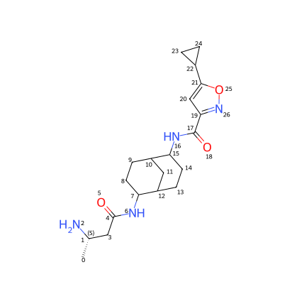 C[C@H](N)CC(=O)NC1CCC2CC1CCC2NC(=O)c1cc(C2CC2)on1